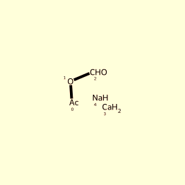 CC(=O)OC=O.[CaH2].[NaH]